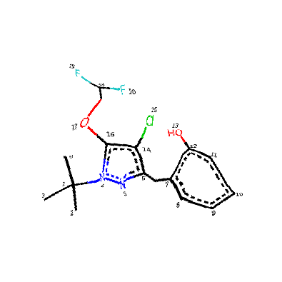 CC(C)(C)n1nc(-c2ccccc2O)c(Cl)c1OC(F)F